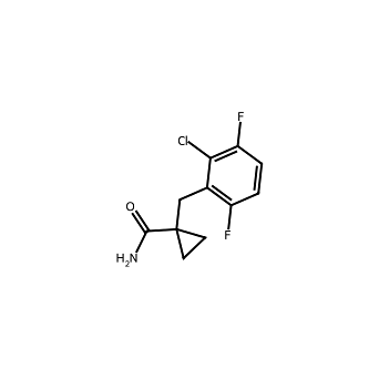 NC(=O)C1(Cc2c(F)ccc(F)c2Cl)CC1